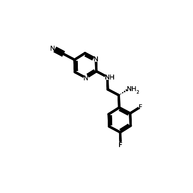 N#Cc1cnc(NC[C@H](N)c2ccc(F)cc2F)nc1